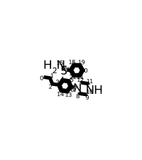 CCCc1ccc(N2CCNCC2)cc1.NSc1ccccc1